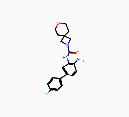 Nc1ccc(-c2ccc(F)cc2)cc1NC(=O)N1CC2(CCOCC2)C1